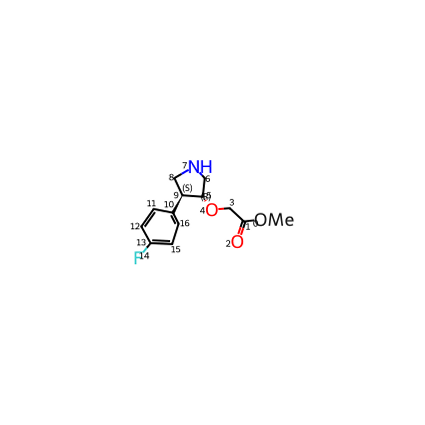 COC(=O)CO[C@H]1CNC[C@@H]1c1ccc(F)cc1